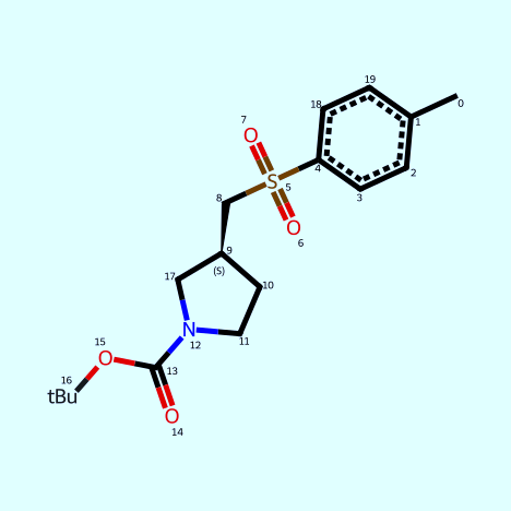 Cc1ccc(S(=O)(=O)C[C@H]2CCN(C(=O)OC(C)(C)C)C2)cc1